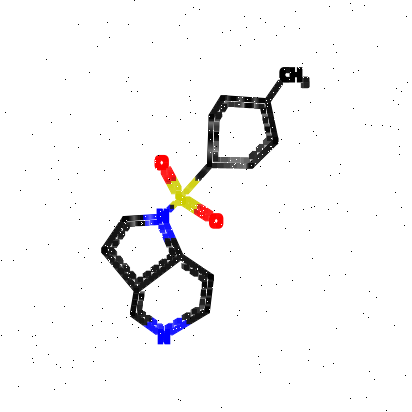 Cc1ccc(S(=O)(=O)n2ccc3cnccc32)cc1